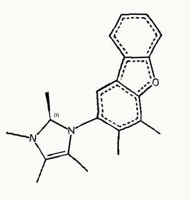 CC1=C(C)N(c2cc3c(oc4ccccc43)c(C)c2C)[C@H](C)N1C